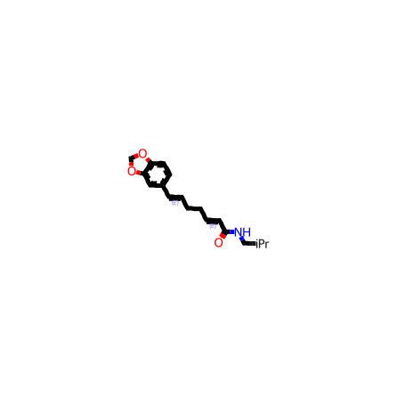 CC(C)CNC(=O)/C=C/CC/C=C/c1ccc2c(c1)OCO2